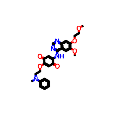 COCCOc1cc2ncnc(NC3=CC(=O)C(OCCN(C)c4ccccc4)=CC3=O)c2cc1OC